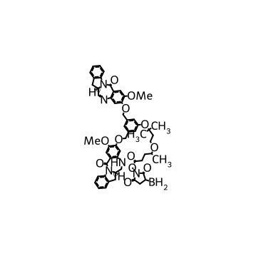 BC1CC(=O)N(OC(=O)CCC(C)OCCC(C)(C)Oc2cc(COc3cc4c(cc3OC)C(=O)N3c5ccccc5C[C@H]3C=N4)cc(COc3cc4c(cc3OC)C(=O)N3c5ccccc5C[C@H]3CN4)c2)C1=O